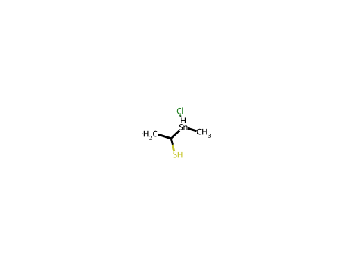 [CH2][CH](S)[SnH]([CH3])[Cl]